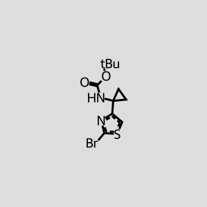 CC(C)(C)OC(=O)NC1(c2csc(Br)n2)CC1